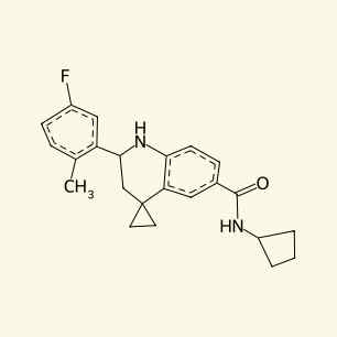 Cc1ccc(F)cc1C1CC2(CC2)c2cc(C(=O)NC3CCC3)ccc2N1